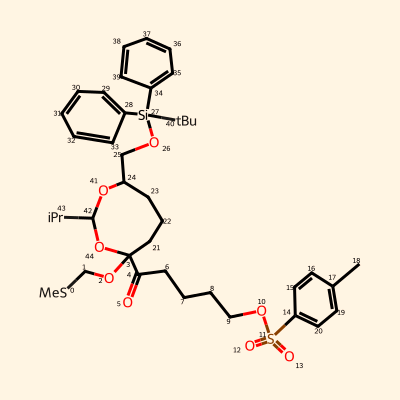 CSCOC1(C(=O)CCCCOS(=O)(=O)c2ccc(C)cc2)CCCC(CO[Si](c2ccccc2)(c2ccccc2)C(C)(C)C)OC(C(C)C)O1